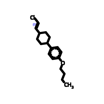 CCCCOc1ccc(C2CCC(/C=C/Cl)CC2)cc1